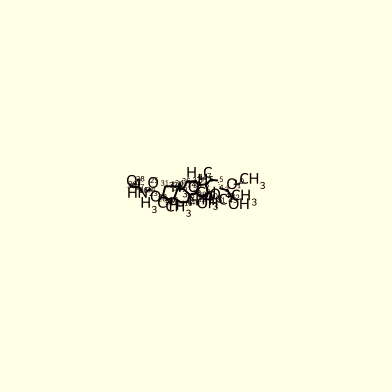 CCO[C@@H]([C@H]1C[C@@H](C)[C@H]2[C@H](O1)[C@H](O)[C@@]1(C)[C@@H]3CC[C@H]4C(C)(C)[C@@H](OC(=O)NC5COC5)CC[C@@]45C[C@@]35CC[C@]21C)C(C)(C)O